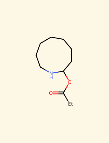 CCC(=O)OC1CCCCCCCN1